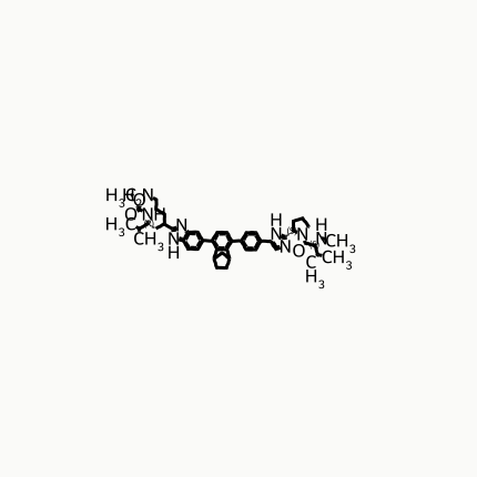 CN[C@H](C(=O)N1CCC[C@H]1c1ncc(-c2ccc(-c3ccc(-c4ccc5[nH]c(C(CCCN)C[C@@H](NC(=O)OC)C(C)C)nc5c4)c4c3C3CCC4C3)cc2)[nH]1)C(C)C